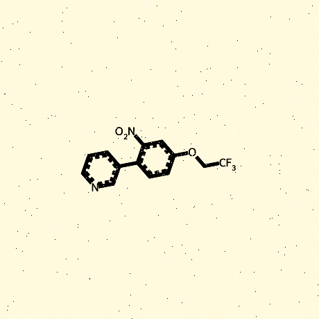 O=[N+]([O-])c1cc(OCC(F)(F)F)ccc1-c1cccnc1